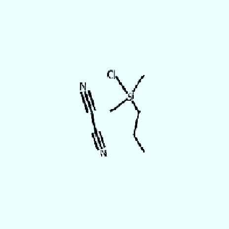 CCC[Si](C)(C)Cl.N#CC#N